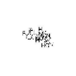 CC(C)c1ccc(F)c(C(C)C)c1CC(=O)NS(=O)(=O)c1ncc(C2(O)CC2)s1